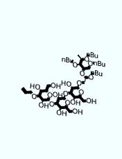 C=CCOC1[C@H](O)C(CO)O[C@H](OC2[C@H](O)C(CO)O[C@H](OC3[C@H](O)C(CO)O[C@H](OC[C@@H](OCCCC)OC(COCCCC)[C@@H](OCCCC)[C@@H](C)OCCCC)[C@@H]3O)[C@@H]2O)[C@@H]1O